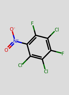 O=[N+]([O-])c1c(F)c(Cl)c(F)c(Cl)c1Cl